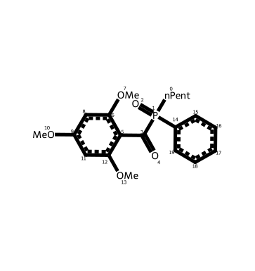 CCCCCP(=O)(C(=O)c1c(OC)cc(OC)cc1OC)c1ccccc1